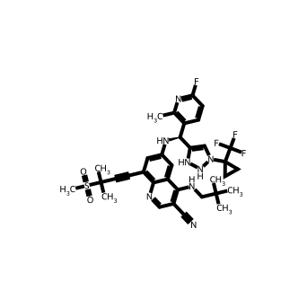 Cc1nc(F)ccc1[C@H](Nc1cc(C#CC(C)(C)S(C)(=O)=O)c2ncc(C#N)c(NCC(C)(C)C)c2c1)C1=CN(C2(C(F)(F)F)CC2)NN1